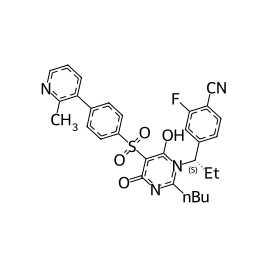 CCCCc1nc(=O)c(S(=O)(=O)c2ccc(-c3cccnc3C)cc2)c(O)n1[C@@H](CC)c1ccc(C#N)c(F)c1